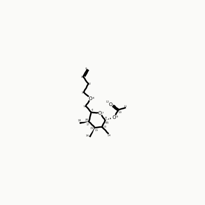 C=CCCOCC1O[C@H](OC(C)=O)C(C)[C@@H](C)[C@H]1C